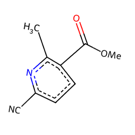 COC(=O)c1ccc(C#N)nc1C